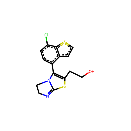 OCCC1=C(c2ccc(Cl)c3sccc23)N2CCN=C2S1